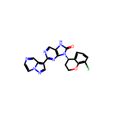 O=c1[nH]c2cnc(-c3cnn4ccncc34)nc2n1[C@@H]1CCOc2c(F)cccc21